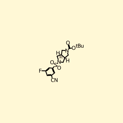 CC(C)(C)OC(=O)N1C[C@@H]2CN(S(=O)(=O)c3cc(F)cc(C#N)c3)C[C@@H]2C1